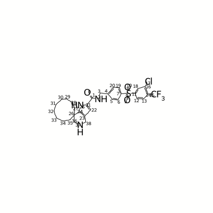 O=C(NCc1ccc(S(=O)(=O)c2ccc(C(F)(F)F)c(Cl)c2)cc1)c1cc2c([nH]1)C1(CCCCCCCCC1)CNC2